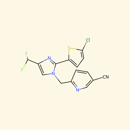 N#Cc1ccc(Cn2cc(C(F)F)nc2-c2ccc(Cl)s2)nc1